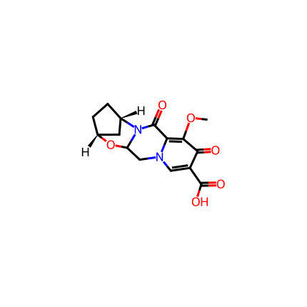 COc1c2n(cc(C(=O)O)c1=O)CC1O[C@@H]3CC[C@@H](C3)N1C2=O